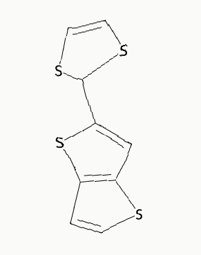 C1=CSC(c2cc3sccc3s2)S1